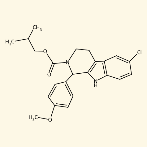 COc1ccc(C2c3[nH]c4ccc(Cl)cc4c3CCN2C(=O)OCC(C)C)cc1